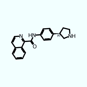 O=C(Nc1ccc([C@H]2CCNC2)cc1)c1nccc2ccccc12